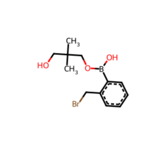 CC(C)(CO)COB(O)c1ccccc1CBr